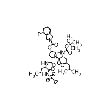 CCCC(NC(=O)[C@@H]1C[C@@H](OC(=O)N2Cc3cccc(F)c3C2)CN1C(=O)[C@H](CC(=O)C=C(C)C)NC(=O)OC(C)(C)C)C(=O)NS(=O)(=O)C1CC1